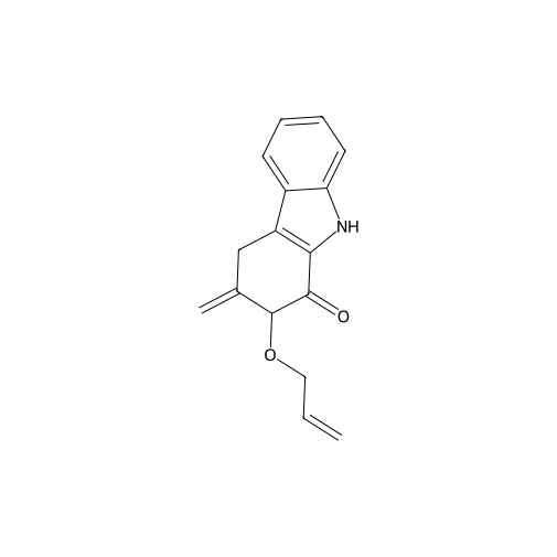 C=CCOC1C(=C)Cc2c([nH]c3ccccc23)C1=O